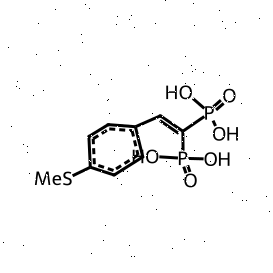 CSc1ccc(C=C(P(=O)(O)O)P(=O)(O)O)cc1